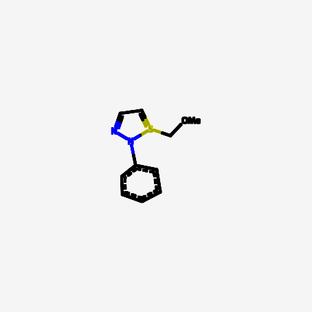 COCS1=CC=NN1c1ccccc1